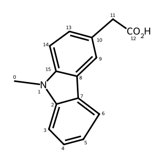 Cn1c2ccccc2c2cc(CC(=O)O)ccc21